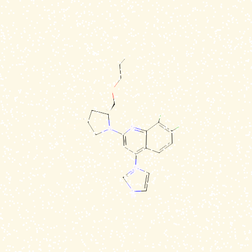 O=C(O)CCOC[C@@H]1C[C@@H](O)CN1c1cc(-[n+]2cc[nH]c2)c2ccc(Cl)c(Cl)c2n1